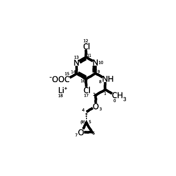 CC(COC[C@@H]1CO1)Nc1nc(Cl)nc(C(=O)[O-])c1Cl.[Li+]